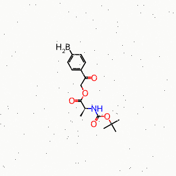 Bc1ccc(C(=O)COC(=O)[C@H](C)NC(=O)OC(C)(C)C)cc1